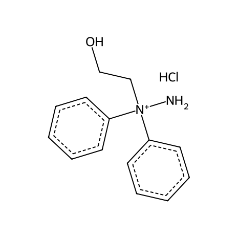 Cl.N[N+](CCO)(c1ccccc1)c1ccccc1